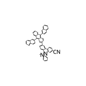 CN1c2ccccc2N2c3cc(C#N)ccc3-c3cc(-c4ccc5c(-c6ccc7ccccc7c6)c6ccccc6c(-c6ccc7ccccc7c6)c5c4)ccc3C12